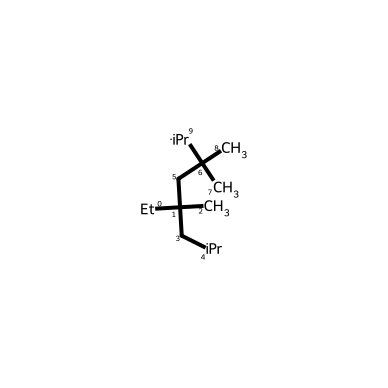 CCC(C)(CC(C)C)CC(C)(C)[C](C)C